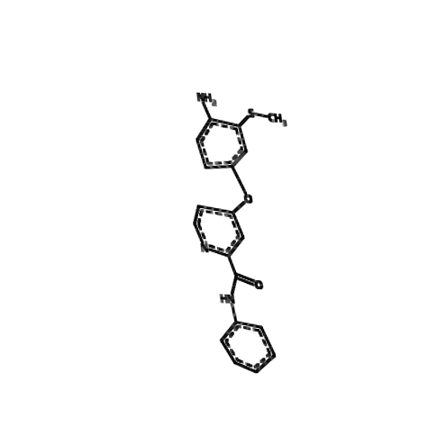 CSc1cc(Oc2ccnc(C(=O)Nc3ccccc3)c2)ccc1N